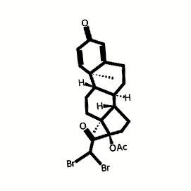 CC(=O)O[C@]1(C(=O)C(Br)Br)CC[C@H]2[C@@H]3CCC4=CC(=O)C=C[C@]4(C)[C@H]3CC[C@@]21C